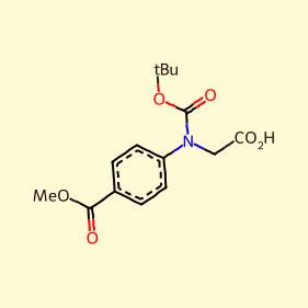 COC(=O)c1ccc(N(CC(=O)O)C(=O)OC(C)(C)C)cc1